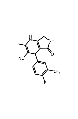 CC1=C(C#N)C(c2ccc(F)c(C(F)(F)F)c2)C2=C(CNC2=O)N1